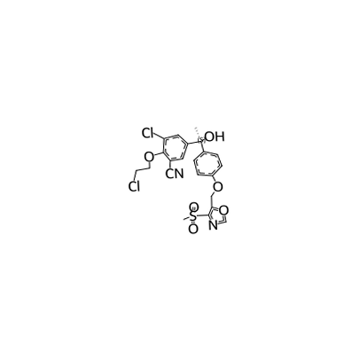 C[C@](O)(c1ccc(OCc2ocnc2S(C)(=O)=O)cc1)c1cc(Cl)c(OCCCl)c(C#N)c1